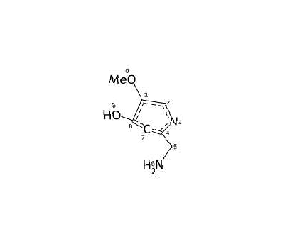 COc1cnc(CN)cc1O